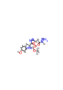 COc1ccc(C[C@H](NC(=O)OC(C)(C)C)c2nnc(CC(=O)N(C)N)o2)cc1